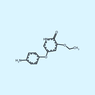 CCOc1cc(Oc2ccc(N)cc2)c[nH]c1=O